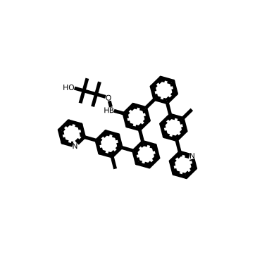 Cc1cc(-c2ccccn2)ccc1-c1ccccc1-c1cc(BOC(C)(C)C(C)(C)O)cc(-c2ccccc2-c2ccc(-c3ccccn3)cc2C)c1